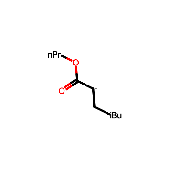 CCCOC(=O)[CH]CC(C)CC